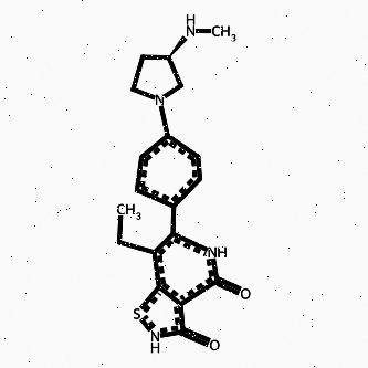 CCc1c(-c2ccc(N3CC[C@@H](NC)C3)cc2)[nH]c(=O)c2c(=O)[nH]sc12